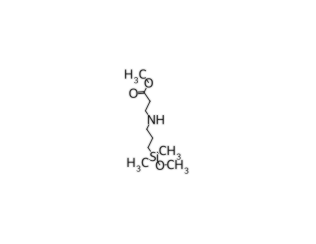 COC(=O)CCNCCC[Si](C)(C)OC